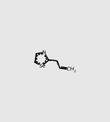 C=CCc1ncc[se]1